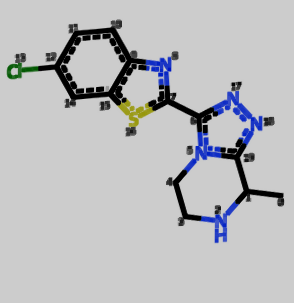 CC1NCCn2c(-c3nc4ccc(Cl)cc4s3)nnc21